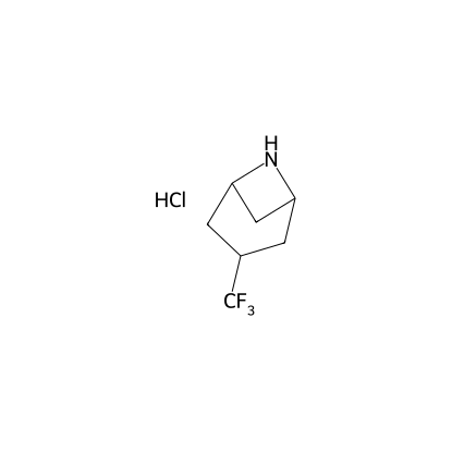 Cl.FC(F)(F)C1CC2CC(C1)N2